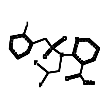 COC(=O)c1cccnc1N(CC(F)F)S(=O)(=O)Cc1ccccc1I